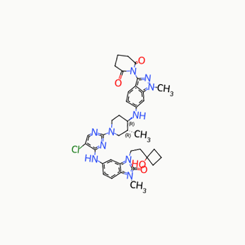 C[C@@H]1CN(c2ncc(Cl)c(Nc3ccc4c(c3)n(CCC3(O)CCC3)c(=O)n4C)n2)CC[C@H]1Nc1ccc2c(N3C(=O)CCCC3=O)nn(C)c2c1